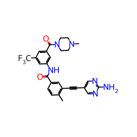 Cc1ccc(C(=O)Nc2cc(C(=O)N3CCN(C)CC3)cc(C(F)(F)F)c2)cc1C#Cc1cnc(N)nc1